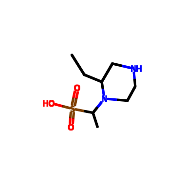 CCC1CNCCN1C(C)S(=O)(=O)O